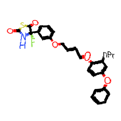 CCCc1cc(Oc2ccccc2)ccc1OCCCCOc1cccc(C2(F)NC(=O)SC2=O)c1